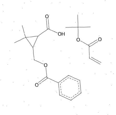 C=CC(=O)OC(C)(C)C.CC1(C)C(COC(=O)c2ccccc2)C1C(=O)O